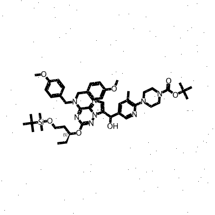 CC[C@@H](CCO[Si](C)(C)C(C)(C)C)Oc1nc(N(Cc2ccc(OC)cc2)Cc2ccc(OC)cc2)c2ncc(C(O)c3cnc(N4CCN(C(=O)OC(C)(C)C)CC4)c(C)c3)n2n1